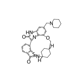 O=c1[nH]c2cc(CN3CCCCC3)cc3c2nc1-c1cccc2c(=O)n(sc12)[C@H]1CC[C@H](CC1)CO3